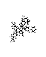 Cc1cc2c3c(c1)N(c1ccc(-c4ccccc4)cc1)c1c(sc4cc5c(cc14)C(C)(C)CCC5(C)C)B3c1cc(C(C)(C)C)ccc1N2c1ccc(C(C)(C)C)cc1